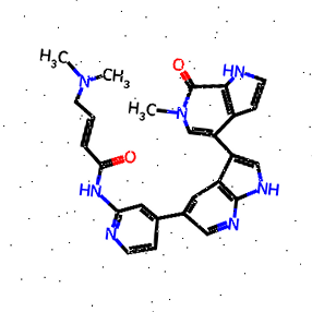 CN(C)CC=CC(=O)Nc1cc(-c2cnc3[nH]cc(-c4cn(C)c(=O)c5[nH]ccc45)c3c2)ccn1